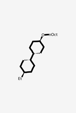 CCCCCCCCO[C@H]1CC[C@H]([C@H]2CC[C@H](CC)CC2)CC1